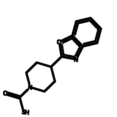 O=C(S)N1CCC(c2nc3ccccc3o2)CC1